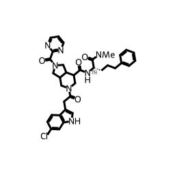 CNC(=O)[C@H](CCCc1ccccc1)NC(=O)C1CN(C(=O)Cc2c[nH]c3cc(Cl)ccc23)CC2CN(C(=O)c3ncccn3)CC21